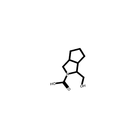 O=C(O)N1CC2CCCC2C1CO